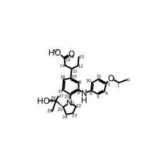 CCOc1ccc(Nc2cc(C(CC)CC(=O)O)ccc2N2CCC[C@H]2C(C)(C)O)cc1